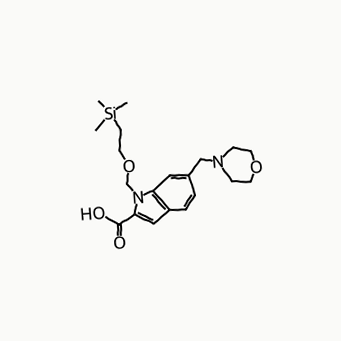 C[Si](C)(C)CCOCn1c(C(=O)O)cc2ccc(CN3CCOCC3)cc21